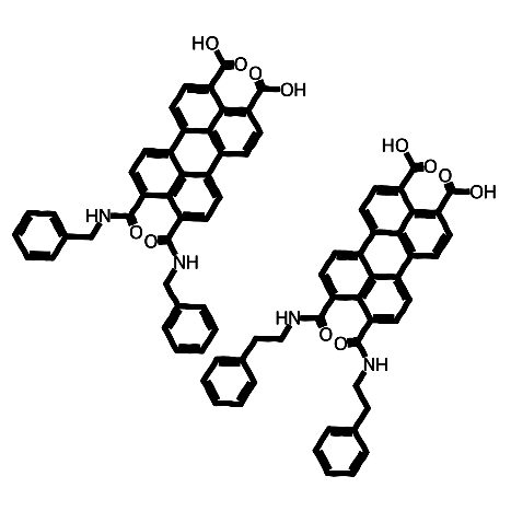 O=C(O)c1ccc2c3ccc(C(=O)NCCc4ccccc4)c4c(C(=O)NCCc5ccccc5)ccc(c5ccc(C(=O)O)c1c25)c43.O=C(O)c1ccc2c3ccc(C(=O)NCc4ccccc4)c4c(C(=O)NCc5ccccc5)ccc(c5ccc(C(=O)O)c1c25)c43